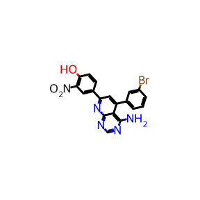 Nc1ncnc2nc(-c3ccc(O)c([N+](=O)[O-])c3)cc(-c3cccc(Br)c3)c12